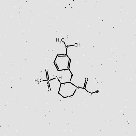 CC(C)OC(=O)N1CCC[C@@H](NS(C)(=O)=O)[C@H]1Cc1cccc(N(C)C)c1